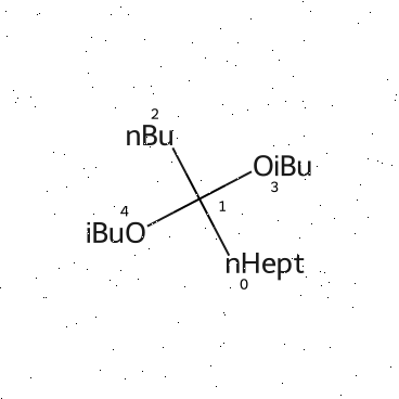 CCCCCCCC(CCCC)(OCC(C)C)OCC(C)C